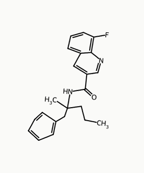 CCCC(C)(Cc1ccccc1)NC(=O)c1cnc2c(F)cccc2c1